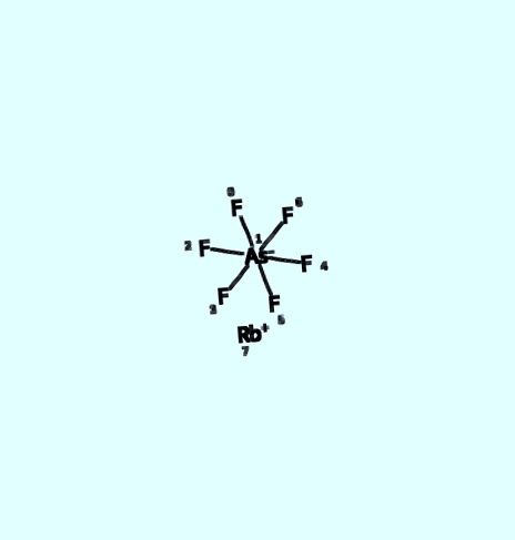 F[As-](F)(F)(F)(F)F.[Rb+]